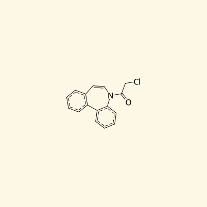 O=C(CCl)N1C=Cc2ccccc2-c2ccccc21